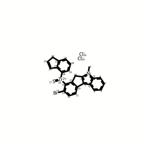 Cn1c2c(c3ccccc31)-c1ccc(Br)[c]([Zr+2](=[S])[c]3cccc4c3C=CC4)c1C2.[Cl-].[Cl-]